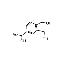 CC(=O)C(O)c1ccc(CO)c(CO)c1